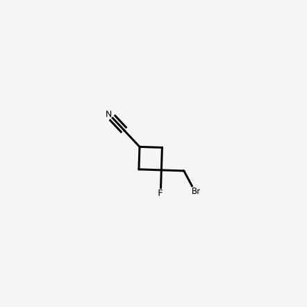 N#CC1CC(F)(CBr)C1